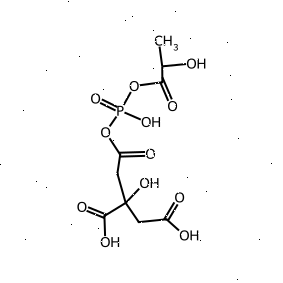 CC(O)C(=O)OP(=O)(O)OC(=O)CC(O)(CC(=O)O)C(=O)O